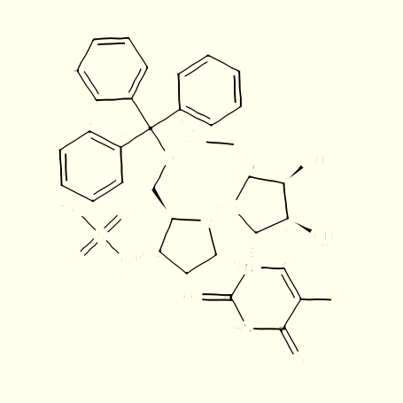 O=C1NC(=O)[N+]([C@@H]2C[C@H](OS(=O)(=O)C(F)(F)F)[C@@H](COC(c3ccccc3)(c3ccccc3)c3ccccc3)O2)([C@@H]2O[C@H](CO)[C@@H](O)[C@H]2O)C=C1F